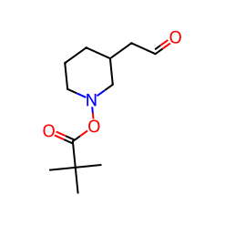 CC(C)(C)C(=O)ON1CCCC(CC=O)C1